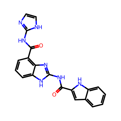 O=C(Nc1nc2c(C(=O)Nc3ncc[nH]3)cccc2[nH]1)c1cc2ccccc2[nH]1